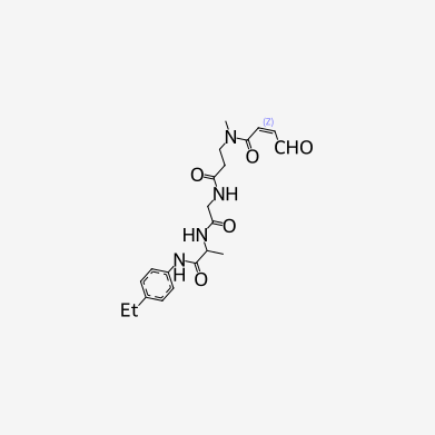 CCc1ccc(NC(=O)C(C)NC(=O)CNC(=O)CCN(C)C(=O)/C=C\C=O)cc1